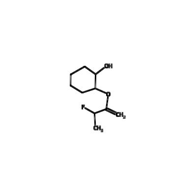 C=C(OC1CCCCC1O)C(C)F